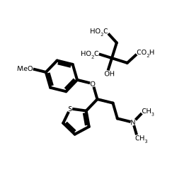 COc1ccc(OC(CCN(C)C)c2cccs2)cc1.O=C(O)CC(O)(CC(=O)O)C(=O)O